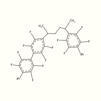 CC(C)c1c(F)c(F)c(-c2c(F)c(F)c(C(C)CCC(C)c3c(F)c(F)c(C(C)C)c(F)c3F)c(F)c2F)c(F)c1F